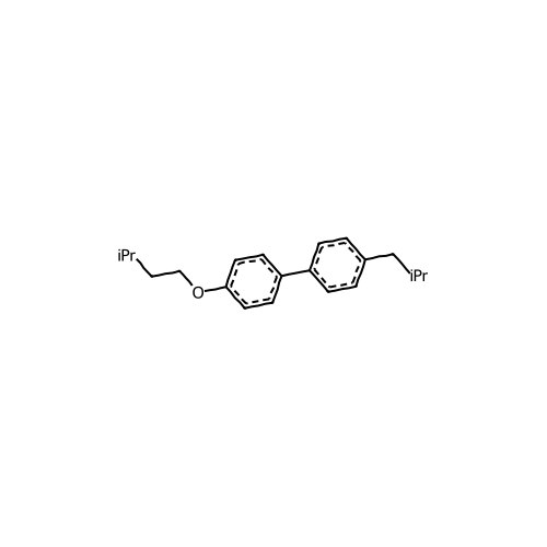 CC(C)CCOc1ccc(-c2ccc(CC(C)C)cc2)cc1